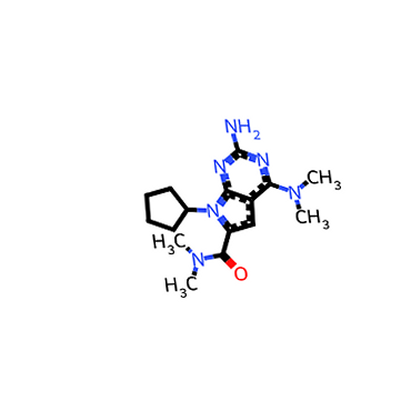 CN(C)C(=O)c1cc2c(N(C)C)nc(N)nc2n1C1CCCC1